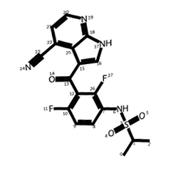 CC(C)S(=O)(=O)Nc1ccc(F)c(C(=O)c2c[nH]c3nccc(C#N)c23)c1F